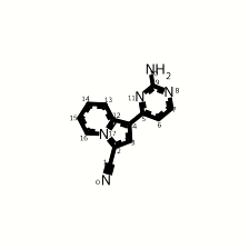 N#Cc1cc(-c2ccnc(N)n2)c2ccccn12